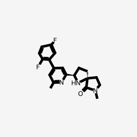 Cc1cc(-c2cc(F)ccc2F)cc([C@H]2CC[C@@]3(CCN(C)C3=O)N2)n1